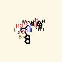 CC(C)C[C@H](NC(=O)[C@@H](NC(=O)c1ccc2ccccc2c1Br)[C@@H](C)O)B1O[C@@H]2C[C@@H]3C[C@@H](C3(C)C)[C@]2(C)O1